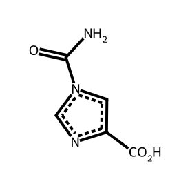 NC(=O)n1cnc(C(=O)O)c1